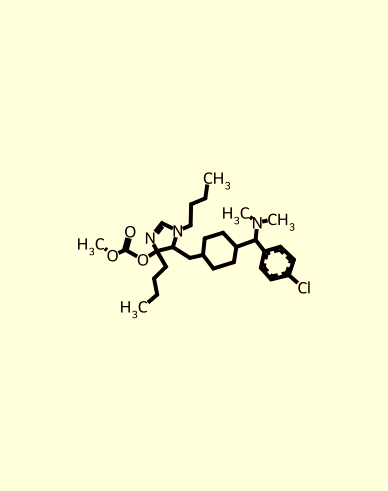 CCCCN1C=NC(CCCC)(OC(=O)OC)C1CC1CCC(C(c2ccc(Cl)cc2)N(C)C)CC1